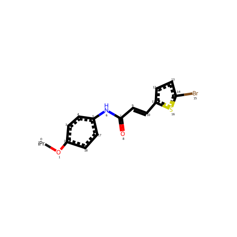 CC(C)Oc1ccc(NC(=O)/C=C/c2ccc(Br)s2)cc1